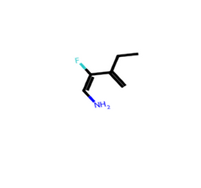 C=C(CC)/C(F)=C\N